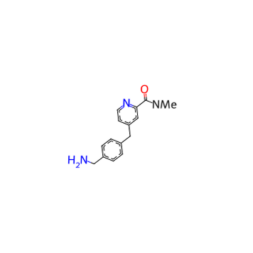 CNC(=O)c1cc(Cc2ccc(CN)cc2)ccn1